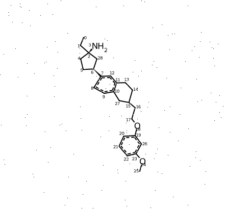 CC[C@@]1(N)CC[C@H](c2ccc3c(c2)CCC(CCOc2cccc(OC)c2)C3)C1